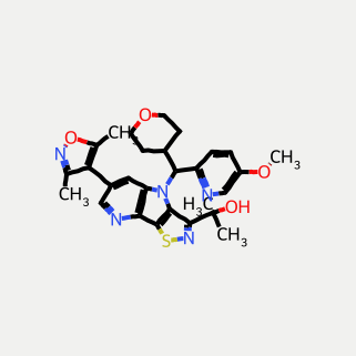 COc1ccc(C(C2CCOCC2)n2c3cc(-c4c(C)noc4C)cnc3c3snc(C(C)(C)O)c32)nc1